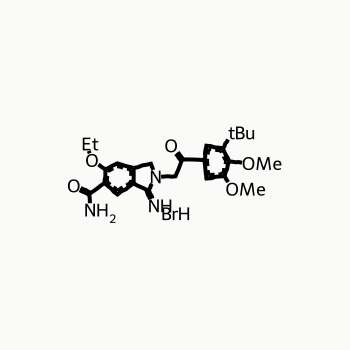 Br.CCOc1cc2c(cc1C(N)=O)C(=N)N(CC(=O)c1cc(OC)c(OC)c(C(C)(C)C)c1)C2